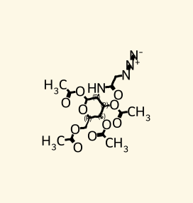 CC(=O)OC[C@H]1OC(OC(C)=O)[C@H](NC(=O)CN=[N+]=[N-])[C@@H](OC(C)=O)[C@@H]1OC(C)=O